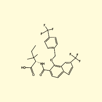 CCC(C)(C)[C@H](NC(=O)c1ccc2ccc(C(F)(F)F)cc2c1OCc1ccc(C(F)(F)F)cc1)C(=O)O